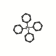 c1cc[c]([Pt]([c]2ccccc2)([c]2ccccc2)[c]2ccccc2)cc1